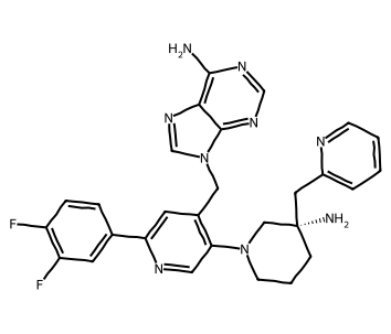 Nc1ncnc2c1ncn2Cc1cc(-c2ccc(F)c(F)c2)ncc1N1CCC[C@](N)(Cc2ccccn2)C1